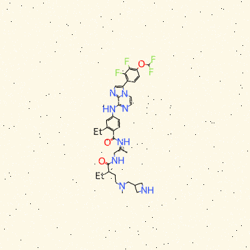 CCc1cc(Nc2nccn3c(-c4ccc(OC(F)F)c(F)c4F)cnc23)ccc1C(=O)N[C@@H](C)CNC(=O)C(CC)CCN(C)CC1CNC1